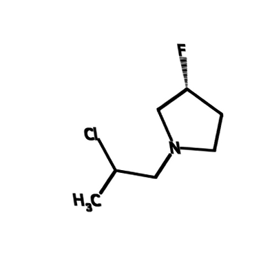 CC(Cl)CN1CC[C@@H](F)C1